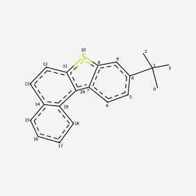 CC(C)(C)c1ccc2c(c1)sc1ccc3ccccc3c12